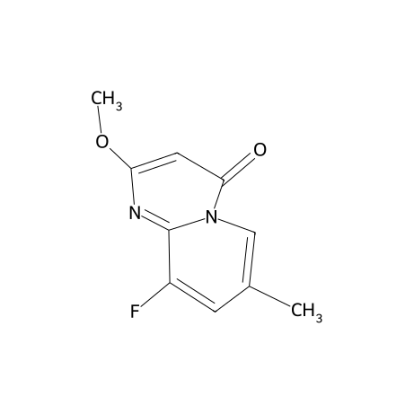 COc1cc(=O)n2cc(C)cc(F)c2n1